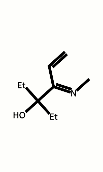 C=CC(=NC)C(O)(CC)CC